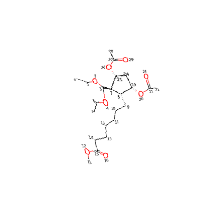 CCOC(OCC)[C@@H]1[C@@H](CCCCCCC(=O)OC)[C@@H](OC(C)=O)C[C@H]1OC(C)=O